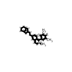 Cc1cc(-c2c3ccc(CCC4CC5CCCC(C5)C4)cc3cc[n+]2C)c(C)c(C)c1F